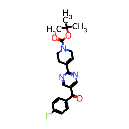 CC(C)(C)OC(=O)N1CC=C(c2ncc(C(=O)c3ccc(F)cc3)cn2)CC1